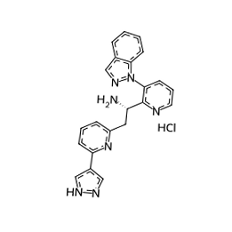 Cl.N[C@@H](Cc1cccc(-c2cn[nH]c2)n1)c1ncccc1-n1ncc2ccccc21